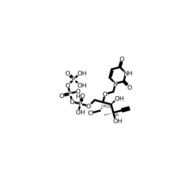 C#C[C@@](C)(O)[C@H](O)[C@@](CCl)(COP(=O)(O)OP(=O)(O)OP(=O)(O)O)OCn1ccc(=O)[nH]c1=O